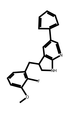 COc1cccc(CC2CNc3ncc(-c4ccccc4)cc32)c1F